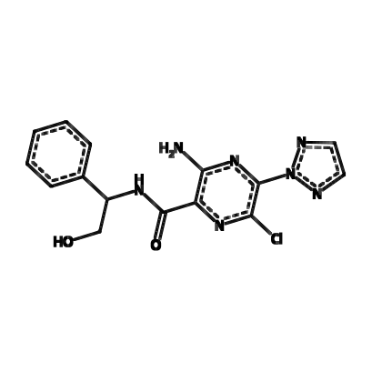 Nc1nc(-n2nccn2)c(Cl)nc1C(=O)NC(CO)c1ccccc1